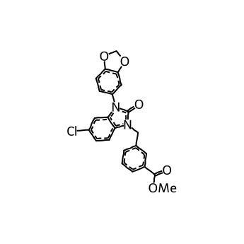 COC(=O)c1cccc(Cn2c(=O)n(-c3ccc4c(c3)OCO4)c3cc(Cl)ccc32)c1